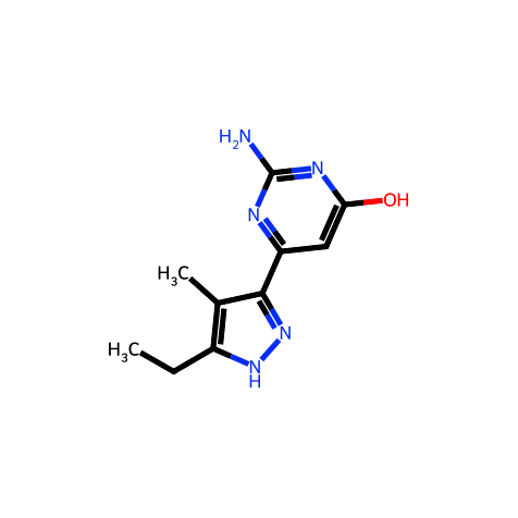 CCc1[nH]nc(-c2cc(O)nc(N)n2)c1C